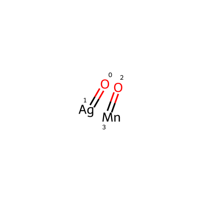 [O]=[Ag].[O]=[Mn]